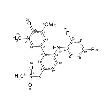 COc1cc(-c2cc(CS(C)(=O)=O)ccc2Nc2ccc(F)cc2F)cn(C)c1=O